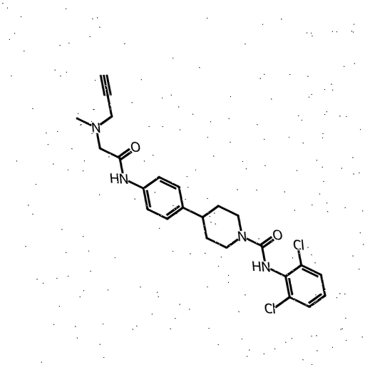 C#CCN(C)CC(=O)Nc1ccc(C2CCN(C(=O)Nc3c(Cl)cccc3Cl)CC2)cc1